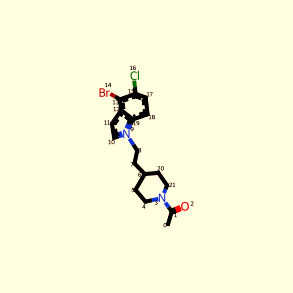 CC(=O)N1CCC(CCn2ccc3c(Br)c(Cl)ccc32)CC1